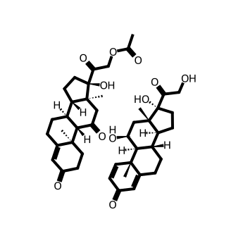 CC(=O)OCC(=O)[C@@]1(O)CC[C@H]2[C@@H]3CCC4=CC(=O)CC[C@]4(C)[C@H]3C(=O)C[C@@]21C.C[C@]12C=CC(=O)C=C1CC[C@@H]1[C@@H]2[C@@H](O)C[C@@]2(C)[C@H]1CC[C@]2(O)C(=O)CO